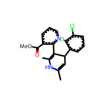 COC(=O)c1cccnc1C1=C(C)NC(C)=CC1c1cccc(Cl)c1Cl